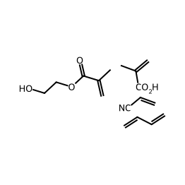 C=C(C)C(=O)O.C=C(C)C(=O)OCCO.C=CC#N.C=CC=C